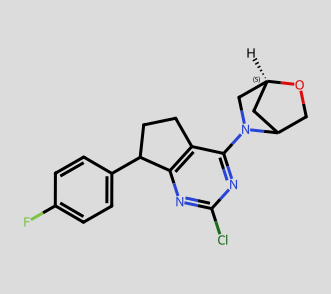 Fc1ccc(C2CCc3c2nc(Cl)nc3N2C[C@@H]3CC2CO3)cc1